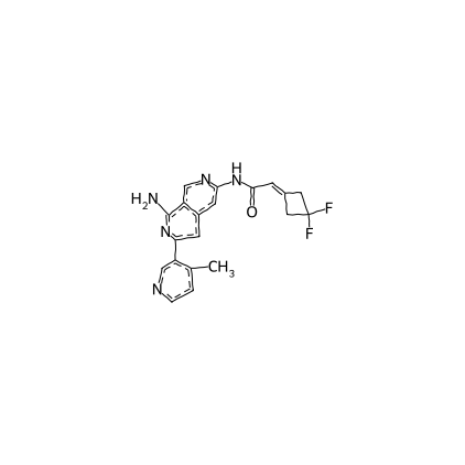 Cc1ccncc1-c1cc2cc(NC(=O)C=C3CC(F)(F)C3)ncc2c(N)n1